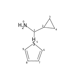 NC(C1CC1)[SH]1C=CC=C1